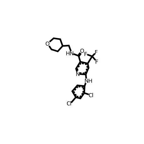 O=C(NCC1CCOCC1)c1cnc(Nc2ccc(Cl)cc2Cl)cc1C(F)(F)F